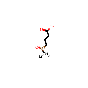 C[S+]([O-])CCCC(=O)[O-].[Li+]